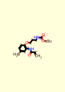 Bc1ccc(OCCCNC(=O)OC(C)(C)C)c(NC(=O)C=C)c1